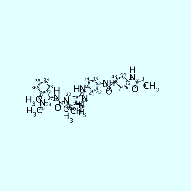 C=CC(=O)Nc1ccc(C(=O)Nc2ccc(Nc3n[nH]c4c3CN(C(=O)N[C@H](CN(C)C)c3ccccc3)C4(C)C)cc2)cc1